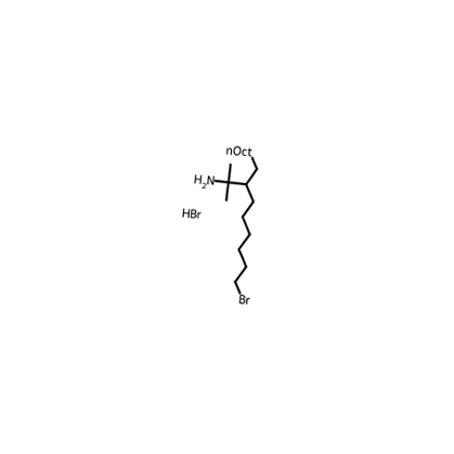 Br.CCCCCCCCCC(CCCCCCBr)C(C)(C)N